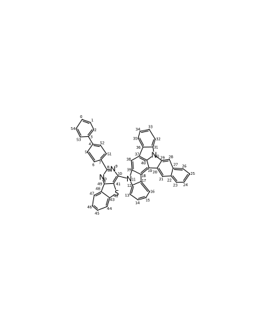 c1ccc(-c2ccc(-c3nc(-n4c5ccccc5c5c6c7cc8ccccc8cc7n7c8ccccc8c(cc54)c67)c4sc5ccccc5c4n3)cc2)cc1